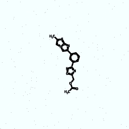 CC(=O)OCc1nc(-c2cccc(-c3cn4cc(C)sc4n3)c2)no1